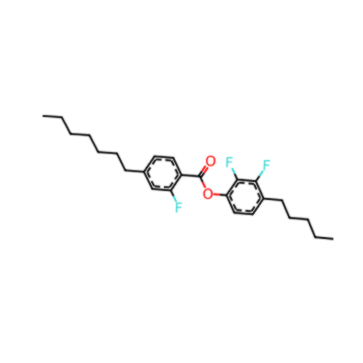 CCCCCCCc1ccc(C(=O)Oc2ccc(CCCCC)c(F)c2F)c(F)c1